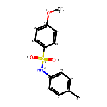 [CH2]c1ccc(NS(=O)(=O)c2ccc(OC(F)(F)F)cc2)cc1